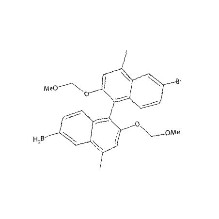 Bc1ccc2c(-c3c(OCOC)cc(C)c4cc(Br)ccc34)c(OCOC)cc(C)c2c1